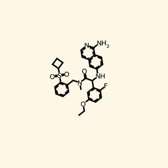 CCOc1ccc(F)c(C(Nc2ccc3c(N)nccc3c2)C(=O)N(C)Cc2ccccc2S(=O)(=O)C2CCC2)c1